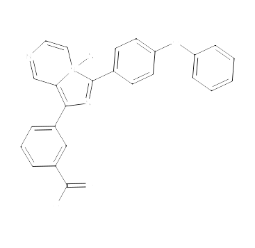 N[N+]12C=CN=CC1=C(c1cccc(C(=O)O)c1)N=C2c1ccc(Oc2ccccc2)cc1